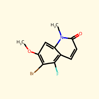 COc1cc2c(ccc(=O)n2C)c(F)c1Br